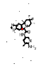 Cc1cc(NC(=O)C(=O)N2C[C@@H](C)C(F)(F)C[C@@]2(C)c2ccc3scnc3c2)cnc1N